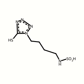 O=S(=O)(O)NCCCCn1nnnc1S